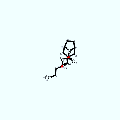 CCCCOC(=O)N1C2CCC1CC(C=O)C2